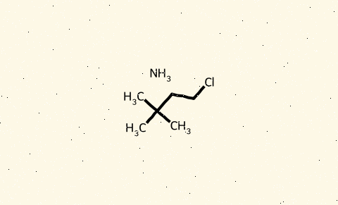 CC(C)(C)CCCl.N